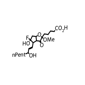 CCCCCC(O)C=CC1C2C(=O)C(CCCCC(=O)O)(OC)OC2CC1(O)F